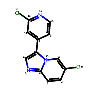 Clc1ccc2ncc(-c3ccnc(Cl)c3)n2c1